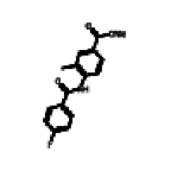 COC(=O)c1ccc(NC(=O)c2ccc(F)cc2)c(C)c1